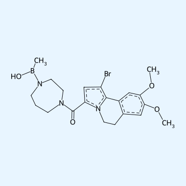 COc1cc2c(cc1OC)-c1c(Br)cc(C(=O)N3CCCN(B(C)O)CC3)n1CC2